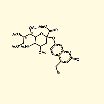 COC(=O)C1(Oc2ccc3c(CBr)cc(=O)oc3c2)CC(OC(C)=O)C(NC(C)=O)C([C@H](OC(C)=O)[C@@H](COC(C)=O)OC(C)=O)O1